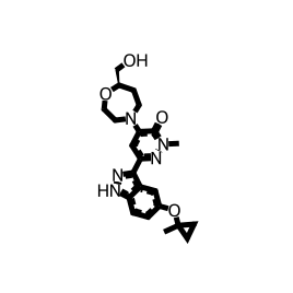 Cn1nc(-c2n[nH]c3ccc(OC4(C)CC4)cc23)cc(N2CCO[C@@H](CO)CC2)c1=O